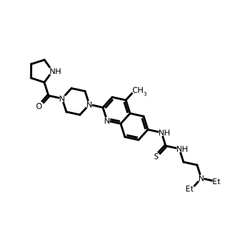 CCN(CC)CCNC(=S)Nc1ccc2nc(N3CCN(C(=O)C4CCCN4)CC3)cc(C)c2c1